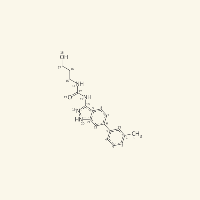 Cc1cccc(-c2ccc3c(NC(=O)NCCCO)n[nH]c3c2)c1